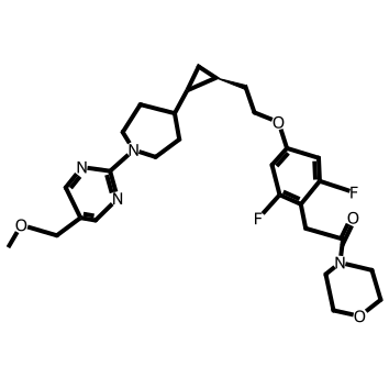 COCc1cnc(N2CCC(C3C[C@H]3CCOc3cc(F)c(CC(=O)N4CCOCC4)c(F)c3)CC2)nc1